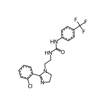 O=C(NCCN1CCN=C1c1ccccc1Cl)Nc1ccc(C(F)(F)F)cc1